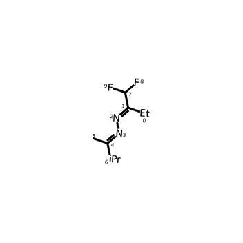 CC/C(=N\N=C(/C)C(C)C)C(F)F